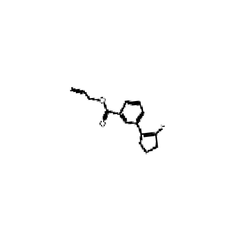 C=CCOC(=O)c1cccc(C2=C(F)CCC2)c1